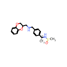 C[S+]([O-])N[C@@H](c1ccc(CNCC2COc3ccccc3O2)cc1)C(F)(F)F